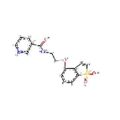 O=C(NCCOc1cccc2c1C=CS2(=O)=O)c1cccnc1